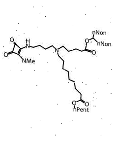 CCCCCCCCCC(CCCCCCCCC)OC(=O)CCCCN(CCCCCCCCC(=O)OCCCCC)CCCCNc1c(NC)c(=O)c1=O